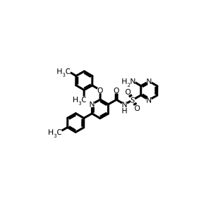 Cc1ccc(-c2ccc(C(=O)NS(=O)(=O)c3nccnc3N)c(Oc3ccc(C)cc3C)n2)cc1